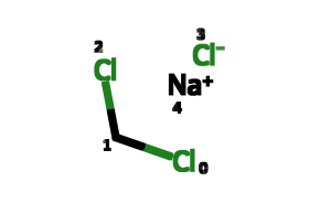 ClCCl.[Cl-].[Na+]